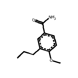 CCCc1cc(C(N)=O)ccc1OC